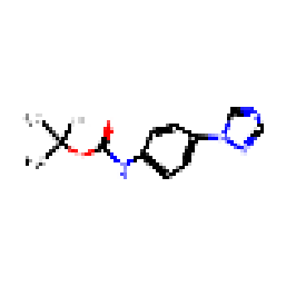 CC(C)(C)OC(=O)Nc1ccc(-n2cncn2)cc1